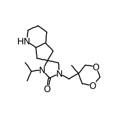 CC(C)N1C(=O)N(CC2(C)COCOC2)CC12CC1CCCNC1C2